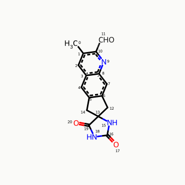 Cc1cc2cc3c(cc2nc1C=O)CC1(C3)NC(=O)NC1=O